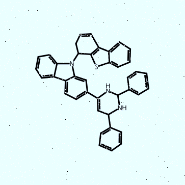 C1=Cc2c(sc3ccccc23)C(n2c3ccccc3c3ccc(C4=CC(c5ccccc5)NC(c5ccccc5)N4)cc32)C1